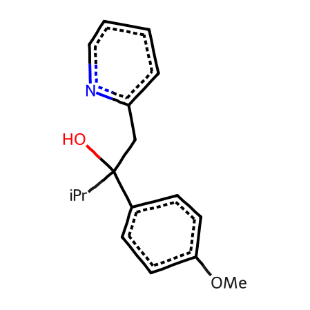 COc1ccc(C(O)(Cc2ccccn2)C(C)C)cc1